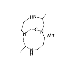 CC1CN2CCCNC(C)CN(CCCN1)CC2.[Mn]